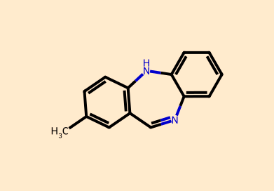 Cc1ccc2c(c1)C=Nc1ccccc1N2